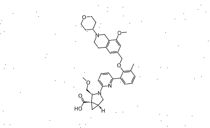 COC[C@H]1N(c2cccc(-c3cccc(C)c3OCc3cc4c(c(OC)c3)CN(C3CCOCC3)CC4)n2)C[C@@H]2C[C@@]21C(=O)O